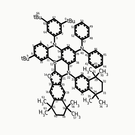 CC(C)(C)c1cc(N2c3ccc(C(C)(C)C)cc3B3c4oc5cc6c(cc5c4N(c4ccc5c(c4)C(C)(C)CCC5(C)C)c4cc(N(c5ccccc5)c5ccccc5)cc2c43)C(C)(C)CCC6(C)C)cc(C(C)(C)C)c1